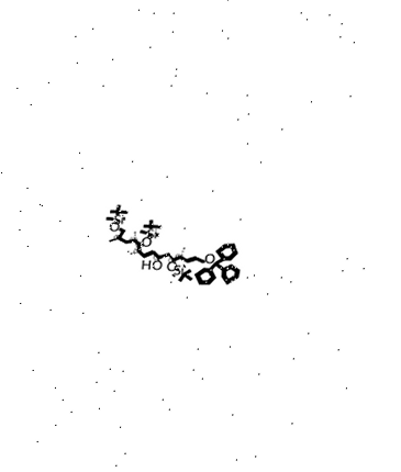 C[C@@H](CO[Si](C)(C)C(C)(C)C)C[C@H](C)[C@@H](O[Si](C)(C)C(C)(C)C)[C@@H](C)C=C[C@@H](O)C[C@H](O[Si](C)(C)C(C)(C)C)[C@H](C)C=CCOC(c1ccccc1)(c1ccccc1)c1ccccc1